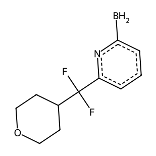 Bc1cccc(C(F)(F)C2CCOCC2)n1